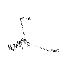 CCCCCC=CC=CC=CCCCCCCC(=O)OC[C@H](COP(=O)([O-])OCC[N+](C)(C)C)OC(=O)CCCCCCC=CC=CC=CCCCCC